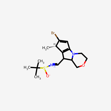 C[C@@H]1C(Br)=CC2=C1C(/C=N/[S+]([O-])C(C)(C)C)C1COCCN21